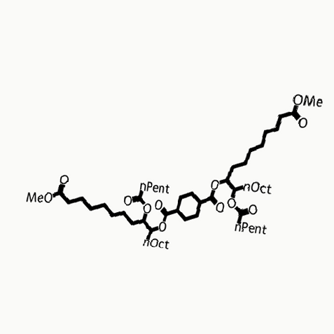 CCCCCCCCC(OC(=O)CCCCC)C(CCCCCCCC(=O)OC)OC(=O)C1CCC(C(=O)OC(CCCCCCCC)C(CCCCCCCC(=O)OC)OC(=O)CCCCC)CC1